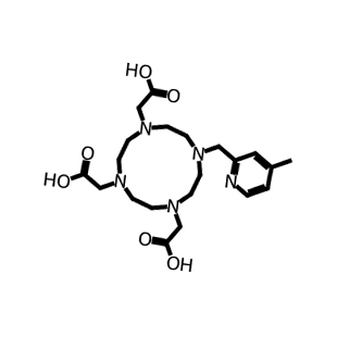 Cc1ccnc(CN2CCN(CC(=O)O)CCN(CC(=O)O)CCN(CC(=O)O)CC2)c1